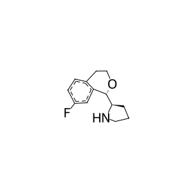 Fc1ccc2c(c1)[C@@H]([C@H]1CCCN1)OCC2